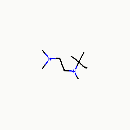 CN(C)CCN(C)C(C)(C)C